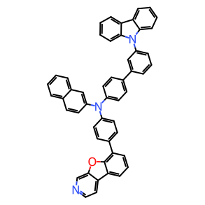 c1cc(-c2ccc(N(c3ccc(-c4cccc5c4oc4cnccc45)cc3)c3ccc4ccccc4c3)cc2)cc(-n2c3ccccc3c3ccccc32)c1